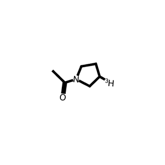 [3H]C1CCN(C(C)=O)C1